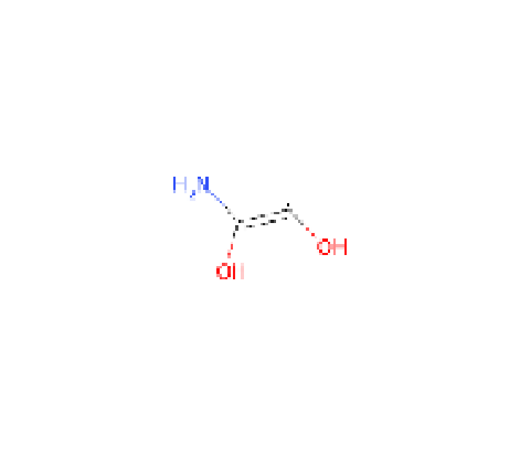 NC(O)=[C]O